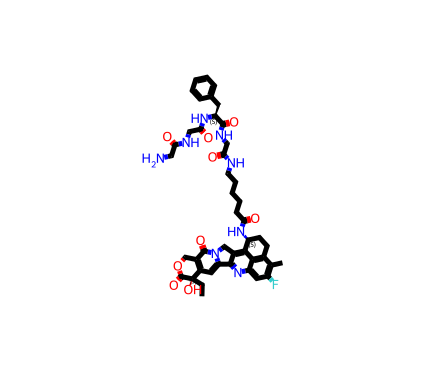 CC[C@@]1(O)C(=O)OCc2c1cc1n(c2=O)Cc2c-1nc1cc(F)c(C)c3c1c2[C@@H](NC(=O)CCCCCNC(=O)CNC(=O)[C@H](Cc1ccccc1)NC(=O)CNC(=O)CN)CC3